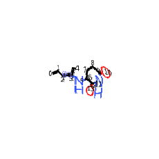 C=C/C=C(\C)NC1CCC(=O)NC1=O